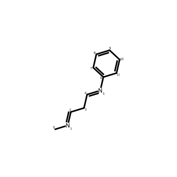 C/N=C/C/C=N/c1ccccc1